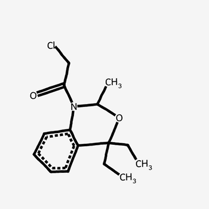 CCC1(CC)OC(C)N(C(=O)CCl)c2ccccc21